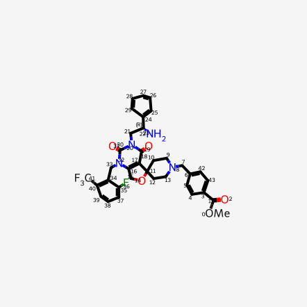 COC(=O)c1ccc(CN2CCC3(CC2)OCc2c3c(=O)n(C[C@H](N)c3ccccc3)c(=O)n2Cc2c(F)cccc2C(F)(F)F)cc1